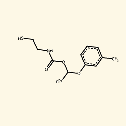 CCCC(OC(=O)NCCS)Oc1cccc(C(F)(F)F)c1